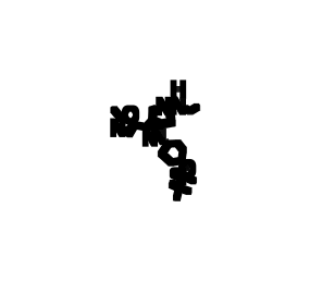 CCNc1cc2c(cn1)c(-c1cnc(C)o1)nn2[C@H]1CC[C@H](O[Si](C)(C)C(C)(C)C)CC1